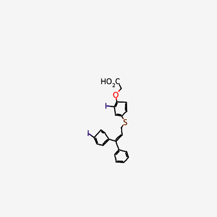 O=C(O)COc1ccc(SCC=C(c2ccccc2)c2ccc(I)cc2)cc1I